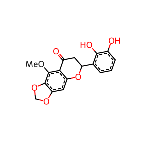 COc1c2c(cc3c1C(=O)CC(c1cccc(O)c1O)O3)OCO2